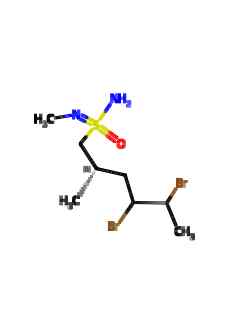 CN=S(N)(=O)C[C@@H](C)CC(Br)C(C)Br